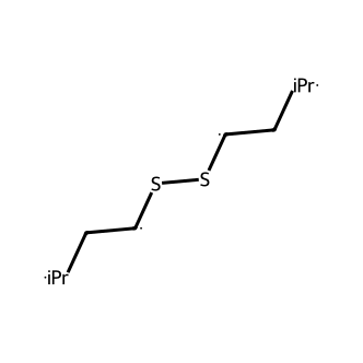 C[C](C)C[CH]SS[CH]C[C](C)C